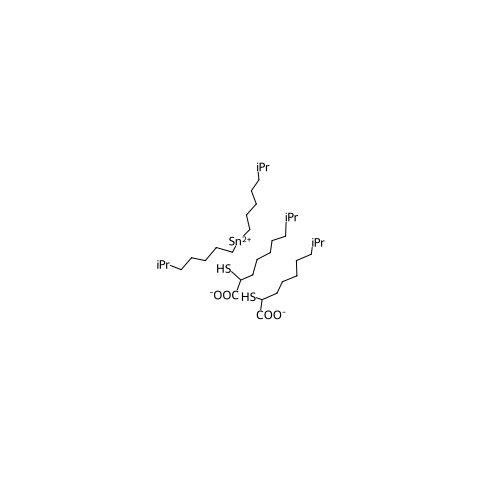 CC(C)CCCCCC(S)C(=O)[O-].CC(C)CCCCCC(S)C(=O)[O-].CC(C)CCCC[CH2][Sn+2][CH2]CCCCC(C)C